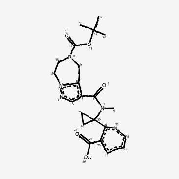 CN(C(=O)c1cnn2c1CN(C(=O)OC(C)(C)C)CC2)C1(c2ncccc2C(=O)O)CC1